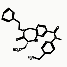 CN(C(=O)c1ccc2c(c1)N[C@H](CC(=O)O)C(=O)N(CCc1ccccc1)C2)c1ccc(CN)cc1